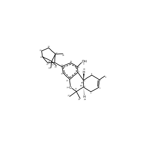 CC1=CC[C@@H]2[C@@H](C1)c1c(O)cc(C3CC4CCC3(C)C4(C)C)cc1OC2(C)C